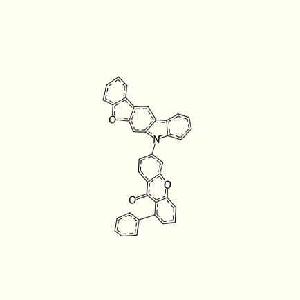 O=c1c2ccc(-n3c4ccccc4c4cc5c(cc43)oc3ccccc35)cc2oc2cccc(-c3ccccc3)c12